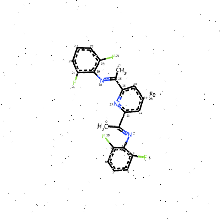 CC(=Nc1c(F)cccc1F)c1cccc(C(C)=Nc2c(F)cccc2F)n1.[Fe]